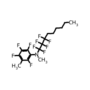 CCCCCCC(F)(F)C(F)(F)C(F)(F)N(C)c1c(F)c(C)c(F)c(F)c1F